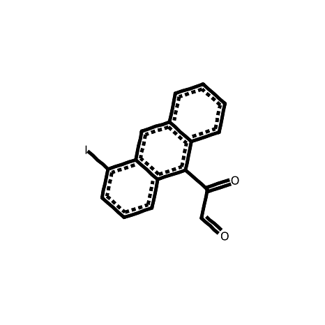 O=CC(=O)c1c2ccccc2cc2c(I)cccc12